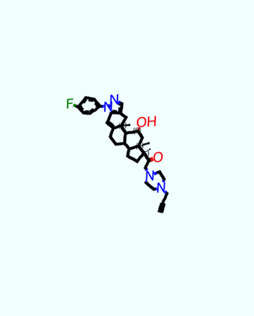 C#CCN1CCN(CC(=O)[C@@]2(C)CCC3C4CCC5=Cc6c(cnn6-c6ccc(F)cc6)C[C@]5(C)C4[C@@H](O)C[C@@]32C)CC1